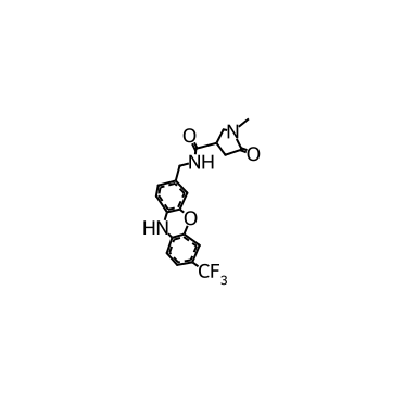 CN1CC(C(=O)NCc2ccc3c(c2)Oc2cc(C(F)(F)F)ccc2N3)CC1=O